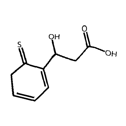 O=C(O)CC(O)C1=CC=CCC1=S